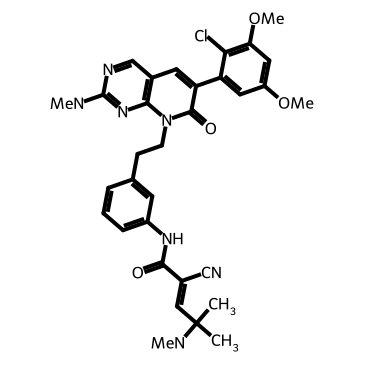 CNc1ncc2cc(-c3cc(OC)cc(OC)c3Cl)c(=O)n(CCc3cccc(NC(=O)/C(C#N)=C/C(C)(C)NC)c3)c2n1